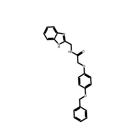 O=C(COc1ccc(OCc2ccccc2)cc1)NCc1nc2ccccc2[nH]1